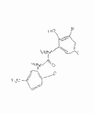 O=C(Nc1cc(C(F)(F)F)ccc1Cl)Nc1cc(Cl)cc(Br)c1O